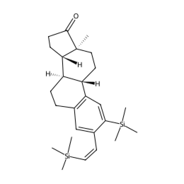 C[C@]12CC[C@@H]3c4cc([Si](C)(C)C)c(/C=C\[Si](C)(C)C)cc4CC[C@H]3[C@@H]1CCC2=O